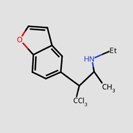 CCNC(C)C(c1ccc2occc2c1)C(Cl)(Cl)Cl